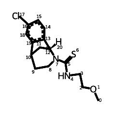 COCCNC(=S)N1CCC2C[C@@H]1c1ccc(Cl)cc12